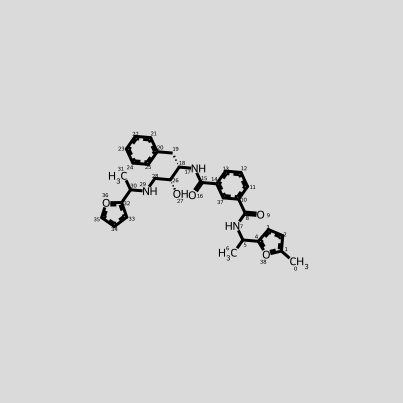 Cc1ccc(C(C)NC(=O)c2cccc(C(=O)N[C@@H](Cc3ccccc3)[C@H](O)CNC(C)c3ccco3)c2)o1